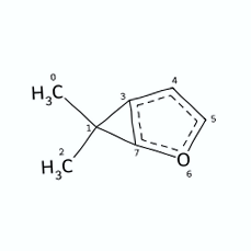 CC1(C)c2ccoc21